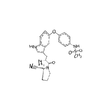 CS(=O)(=O)Nc1ccc(Oc2ccc3[nH]cc(CC(N)C(=O)N4CCCC4C#N)c3c2)cc1